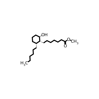 CCCCCC[C@@H]1CCC[C@H](O)[C@@H]1CCCCCCC(=O)OC